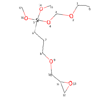 CCOCO[Si](CCCOCC1CO1)(OC)OC